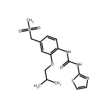 CC(C)COc1cc(CS(C)(=O)=O)ccc1NC(=O)Nc1nccs1